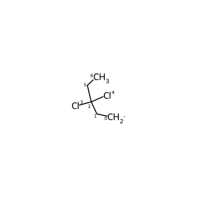 [CH2]CC(Cl)(Cl)CC